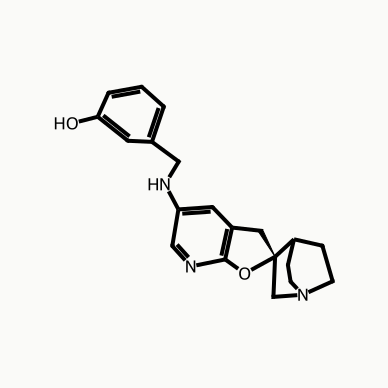 Oc1cccc(CNc2cnc3c(c2)C[C@@]2(CN4CCC2CC4)O3)c1